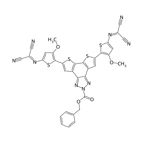 COc1cc(N=C(C#N)C#N)sc1-c1cc2c3nn(C(=O)OCc4ccccc4)nc3c3cc(-c4sc(N=C(C#N)C#N)cc4OC)sc3c2s1